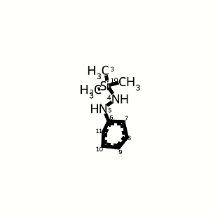 C[Si](C)(C)NNc1ccccc1